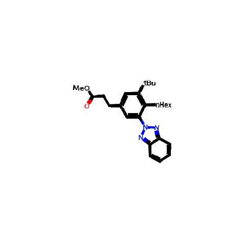 CCCCCCc1c(-n2nc3ccccc3n2)cc(CCC(=O)OC)cc1C(C)(C)C